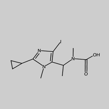 CC(c1c(I)nc(C2CC2)n1C)N(C)C(=O)O